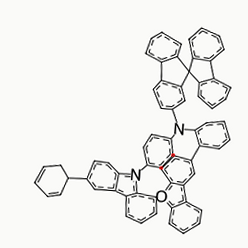 C1=CCC(c2ccc3c(c2)c2ccccc2n3-c2ccc(N(c3ccc4c(c3)C3(c5ccccc5-c5ccccc53)c3ccccc3-4)c3ccccc3-c3ccc4oc5ccccc5c4c3)cc2)C=C1